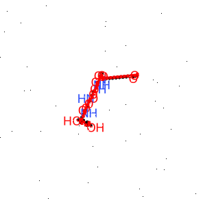 CC(C)(C)OC(=O)CCCCCCCCCCCCCCCCC(=O)NC(CCC(=O)NCCOCCOCC(=O)NCCOCCOCC(=O)NCCCc1cc(-c2ccc(CO)cc2)ccc1CO)C(=O)OC(C)(C)C